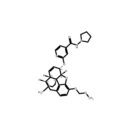 COCOc1ccc2c3c1O[C@H]1[C@@H](Oc4cc(C(=O)NN5CCCC5)ccn4)C=C[C@H]4[C@@H](C2)N(C)CC[C@@]341